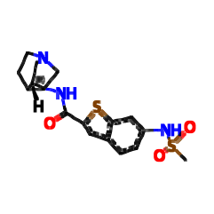 CS(=O)(=O)Nc1ccc2cc(C(=O)N[C@H]3CN4CCC3CC4)sc2c1